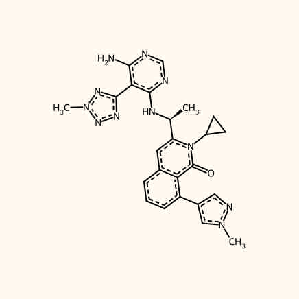 C[C@H](Nc1ncnc(N)c1-c1nnn(C)n1)c1cc2cccc(-c3cnn(C)c3)c2c(=O)n1C1CC1